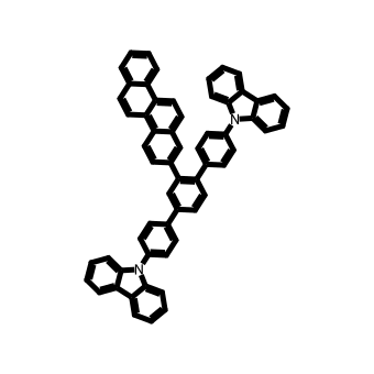 c1ccc2c(c1)ccc1c3ccc(-c4cc(-c5ccc(-n6c7ccccc7c7ccccc76)cc5)ccc4-c4ccc(-n5c6ccccc6c6ccccc65)cc4)cc3ccc21